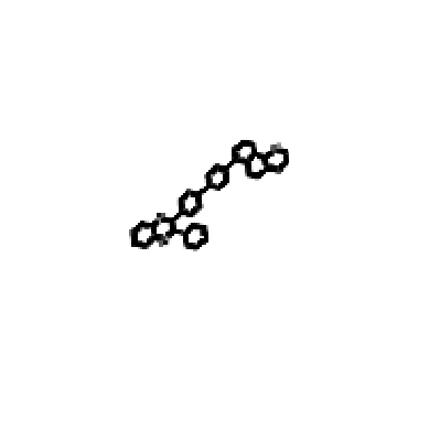 c1ccc(-c2nc3ccccc3nc2-c2ccc(-c3ccc(-c4cccc5c4ccc4cccnc45)cc3)cc2)cc1